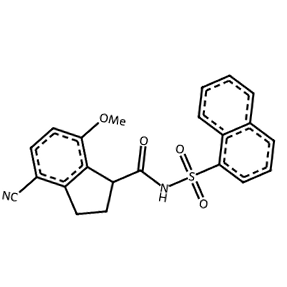 COc1ccc(C#N)c2c1C(C(=O)NS(=O)(=O)c1cccc3ccccc13)CC2